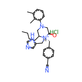 CCCCC1CN(c2cccc(C)c2C)CC(=O)[N@@+]1(Cc1ccc(C#N)cc1)Cc1cnc[nH]1.Cl